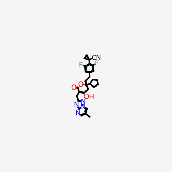 Cc1cnc2nc(CC3=C(O)CC(CCc4cc(F)c(C5(C#N)CC5)c(F)c4)(C4CCCC4)OC3=O)nn2c1